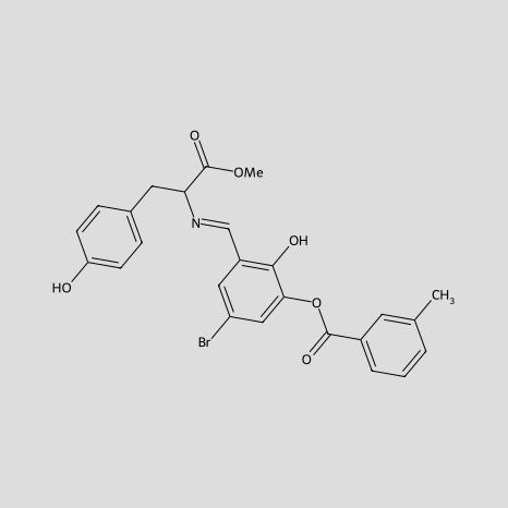 COC(=O)C(Cc1ccc(O)cc1)N=Cc1cc(Br)cc(OC(=O)c2cccc(C)c2)c1O